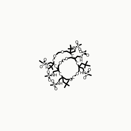 CC(C)(C)CC1(CNS(C)(=O)=O)COCOCC(CNS(C)(=O)=O)(CC(C)(C)C)CC2(CNS(C)(=O)=O)COCOCC(CNS(C)(=O)=O)(C1)CC(CNS(C)(=O)=O)(C(C)(C)C)COCOCC(CNS(C)(=O)=O)(C(C)(C)C)C2